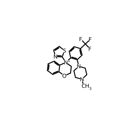 CN1CCN(c2cc(C(F)(F)F)ccc2[N+]2(c3nccs3)CCOc3ccccc32)CC1